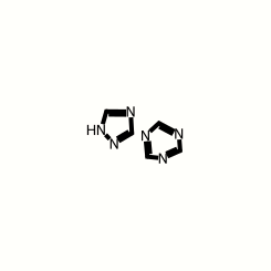 c1nc[nH]n1.c1ncncn1